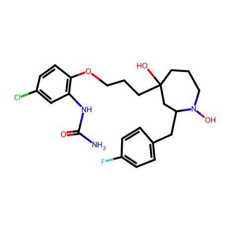 NC(=O)Nc1cc(Cl)ccc1OCCCC1(O)CCCN(O)C(Cc2ccc(F)cc2)C1